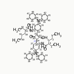 CCCCC(CC)C(=O)NC1=CC(=[N+](c2ccccc2)c2ccccc2)C=C/C1=C1\C(=O)C(c2ccc(N(c3ccccc3)c3ccccc3)cc2NC(=O)C(CC)CCCC)=C1O